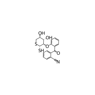 N#Cc1ccccc1C(=O)c1ccccc1O[C@@H]1[C@@H](O)[C@H](O)CS[C@H]1S